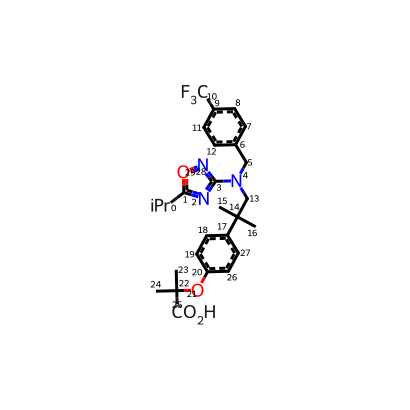 CC(C)c1nc(N(Cc2ccc(C(F)(F)F)cc2)CC(C)(C)c2ccc(OC(C)(C)C(=O)O)cc2)no1